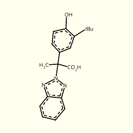 CC(C)(C)c1cc(C(C)(C(=O)O)n2nc3ccccc3n2)ccc1O